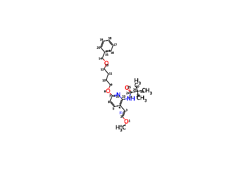 CO/C=C/c1ccc(OCCCCOCc2ccccc2)nc1NC(=O)C(C)(C)C